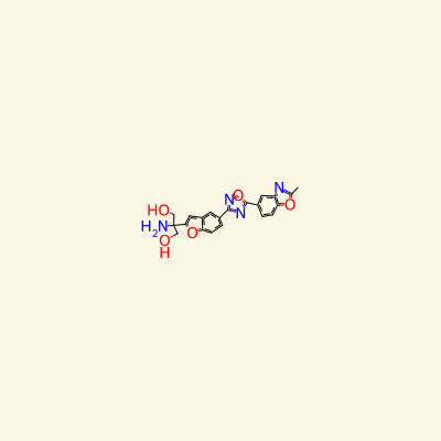 Cc1nc2cc(-c3nc(-c4ccc5oc(C(N)(CO)CO)cc5c4)no3)ccc2o1